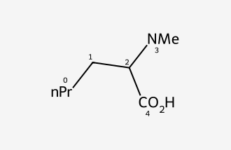 CCCCC(NC)C(=O)O